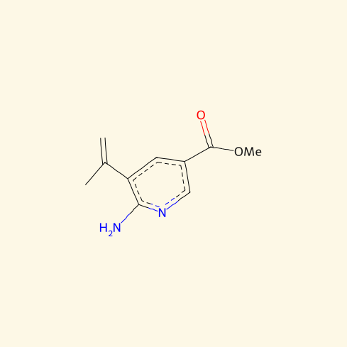 C=C(C)c1cc(C(=O)OC)cnc1N